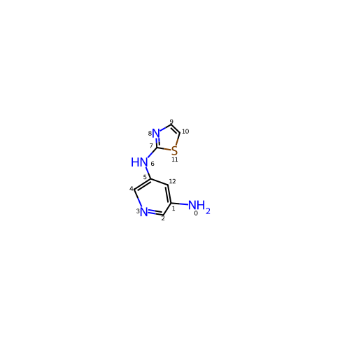 Nc1cncc(Nc2nccs2)c1